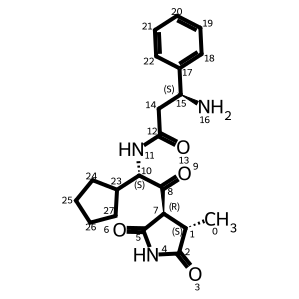 C[C@@H]1C(=O)NC(=O)[C@H]1C(=O)[C@@H](NC(=O)C[C@H](N)c1ccccc1)C1CCCC1